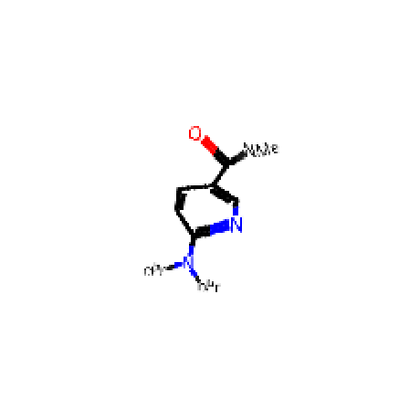 CCCN(CCC)c1ccc(C(=O)NC)cn1